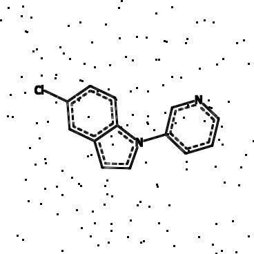 Clc1ccc2c(ccn2-c2cccnc2)c1